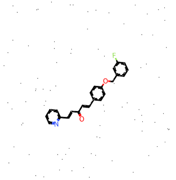 O=C(C=Cc1ccc(OCc2cccc(F)c2)cc1)C=Cc1ccccn1